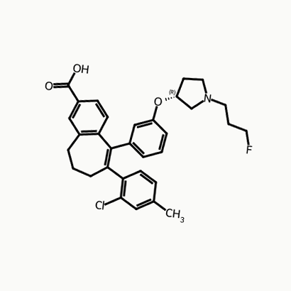 Cc1ccc(C2=C(c3cccc(O[C@@H]4CCN(CCCF)C4)c3)c3ccc(C(=O)O)cc3CCC2)c(Cl)c1